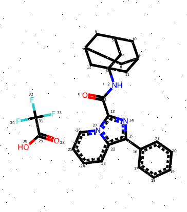 O=C(NC12CC3CC(CC(C3)C1)C2)c1nc(-c2ccccc2)c2ccccn12.O=C(O)C(F)(F)F